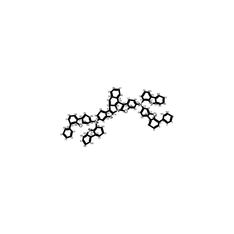 c1ccc(-c2cccc3c2oc2cc(N(c4ccc5c(c4)oc4c5c5c6ccccc6cc6c7c8ccc(N(c9ccc%10c(c9)oc9c(-c%11ccccc%11)cccc9%10)c9cccc%10c9sc9ccccc9%10)cc8sc7n4c65)c4cccc5c4sc4ccccc45)ccc23)cc1